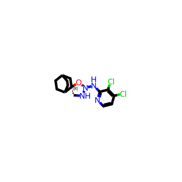 Clc1ccnc(NN2NC[C@]3(CC4CCC3CC4)O2)c1Cl